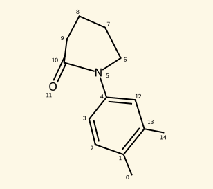 Cc1ccc(N2CCCCC2=O)cc1C